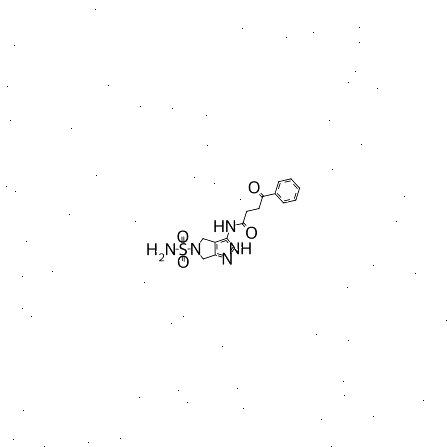 NS(=O)(=O)N1Cc2n[nH]c(NC(=O)CCC(=O)c3ccccc3)c2C1